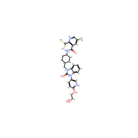 O=C(NC1CCC(Cn2c(=O)n(-c3ccc(OCCO)nc3)c3ccccc32)CC1)c1cc(Cl)cnc1C(F)F